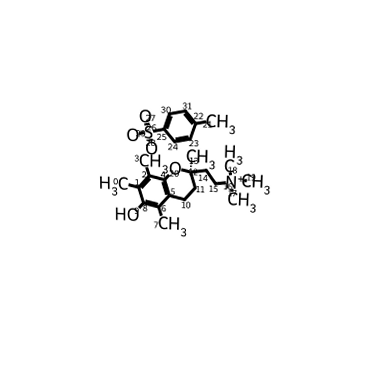 Cc1c(C)c2c(c(C)c1O)CC[C@](C)(CC[N+](C)(C)C)O2.Cc1ccc(S(=O)(=O)[O-])cc1